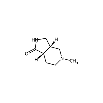 CN1CC[C@@H]2C(=O)NC[C@@H]2C1